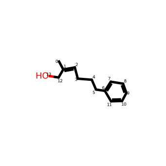 CC(=CCCCc1ccccc1)CO